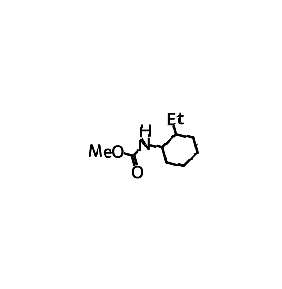 CCC1CCCCC1NC(=O)OC